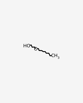 CCCCCCCCCOCCCO